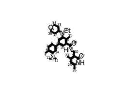 CCN(c1cc(-c2ccc(C)c(N(C)C)c2)cc(C(=O)NCc2c(C)cc(C)[nH]c2=O)c1C)C1CCOCC1